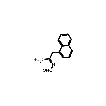 O=CN=C(Cc1cccc2ccccc12)C(=O)O